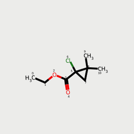 CCOC(=O)C1(Cl)CC1(C)C